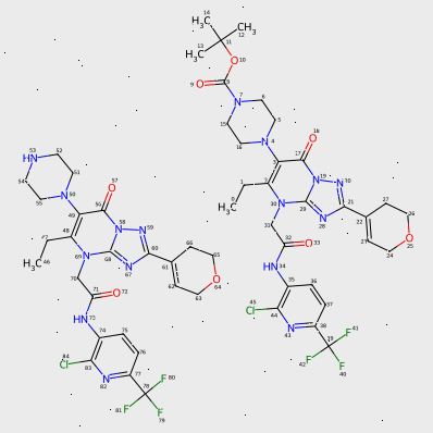 CCc1c(N2CCN(C(=O)OC(C)(C)C)CC2)c(=O)n2nc(C3=CCOCC3)nc2n1CC(=O)Nc1ccc(C(F)(F)F)nc1Cl.CCc1c(N2CCNCC2)c(=O)n2nc(C3=CCOCC3)nc2n1CC(=O)Nc1ccc(C(F)(F)F)nc1Cl